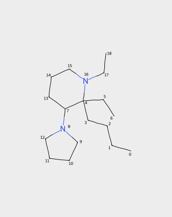 CCCCC1(CC)C(N2CCCC2)CCCN1CC